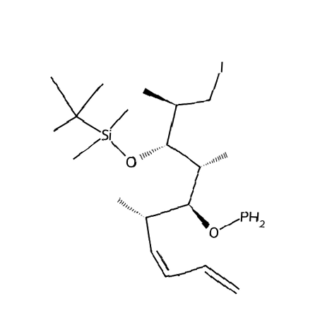 C=C/C=C\[C@H](C)[C@H](OP)[C@@H](C)[C@H](O[Si](C)(C)C(C)(C)C)[C@@H](C)CI